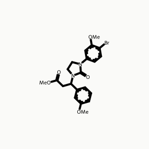 COC(=O)CC(c1cccc(OC)c1)N1CCN(c2ccc(Br)c(OC)c2)C1=O